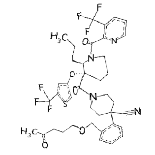 CCC[C@H]1N(C(=O)c2ncccc2C(F)(F)F)CCC[C@@]1(Oc1csc(C(F)(F)F)c1)C(=O)N1CCC(C#N)(c2ccccc2COCCCC(C)=O)CC1